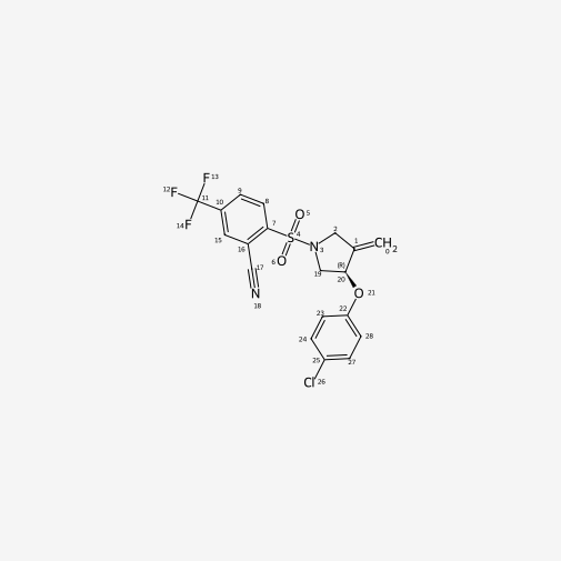 C=C1CN(S(=O)(=O)c2ccc(C(F)(F)F)cc2C#N)C[C@@H]1Oc1ccc(Cl)cc1